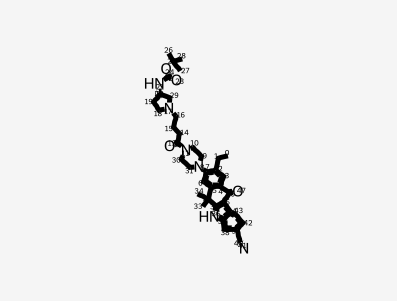 CCc1cc2c(cc1N1CCN(C(=O)CCCN3CC[C@@H](NC(=O)OC(C)(C)C)C3)CC1)C(C)(C)c1[nH]c3cc(C#N)ccc3c1C2=O